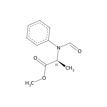 COC(=O)[C@H](C)N(C=O)c1ccccc1